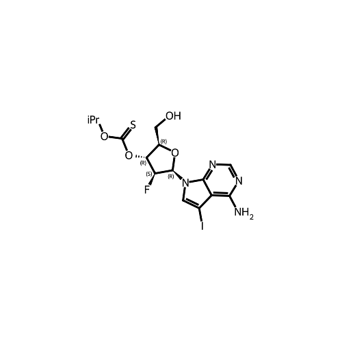 CC(C)OC(=S)O[C@H]1[C@H](F)[C@H](n2cc(I)c3c(N)ncnc32)O[C@@H]1CO